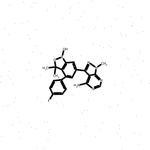 Cn1nc(-c2cc3c(c(-c4ccc(F)cc4)c2)C(C)(C)OB3O)c2c(N)ncnc21